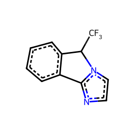 FC(F)(F)C1c2ccccc2-c2nccn21